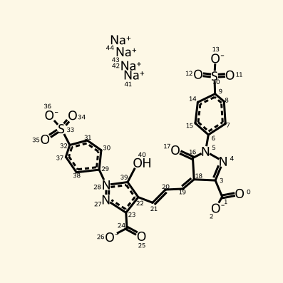 O=C([O-])C1=NN(c2ccc(S(=O)(=O)[O-])cc2)C(=O)C1=CC=Cc1c(C(=O)[O-])nn(-c2ccc(S(=O)(=O)[O-])cc2)c1O.[Na+].[Na+].[Na+].[Na+]